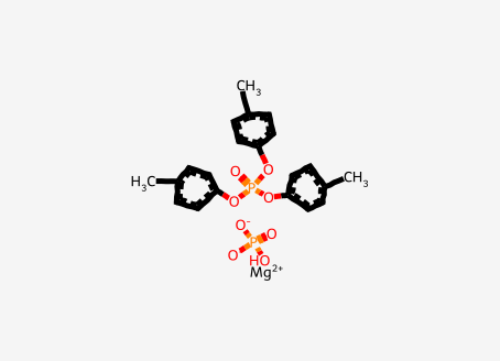 Cc1ccc(OP(=O)(Oc2ccc(C)cc2)Oc2ccc(C)cc2)cc1.O=P([O-])([O-])O.[Mg+2]